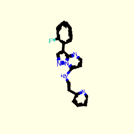 Fc1ccccc1-c1cnn2c(NCCc3ccccn3)ccnc12